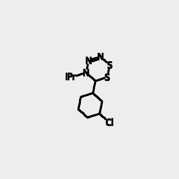 CC(C)N1N=NSSC1C1CCCC(Cl)C1